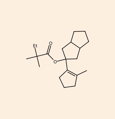 CCC(C)(C)C(=O)OC1(C2=C(C)CCC2)CC2CCCC2C1